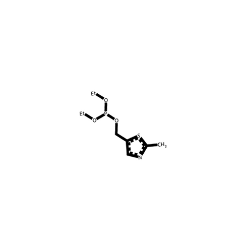 CCOP(OCC)OCc1cnc(C)s1